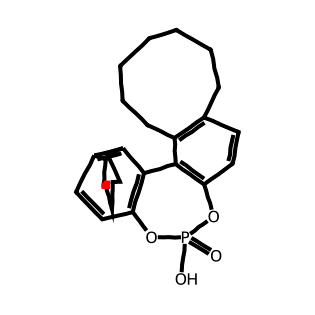 O=P1(O)Oc2ccc3c(c2-c2c(ccc4c2CCCCCCC4)O1)CCCCCCC3